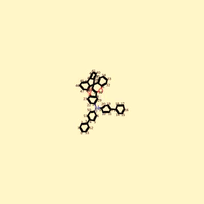 c1ccc(-c2ccc(N(c3ccc(-c4ccccc4)cc3)c3ccc4oc5c(c4c3)Oc3ccccc3C53c4ccccc4-c4ccccc43)cc2)cc1